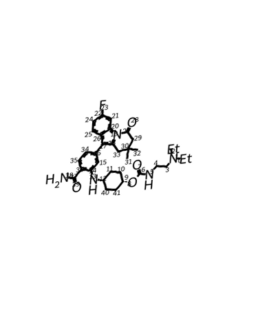 CCN(CC)CCNC(=O)O[C@H]1CC[C@H](Nc2cc(-c3c4n(c5cc(F)ccc35)C(=O)CC(C)(C)C4)ccc2C(N)=O)CC1